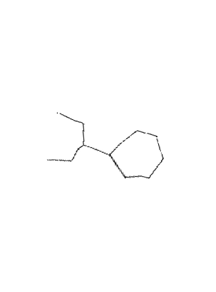 [CH2]CC(CC)C1CCCCC1